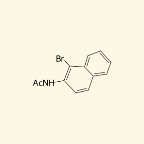 CC(=O)Nc1ccc2ccccc2c1Br